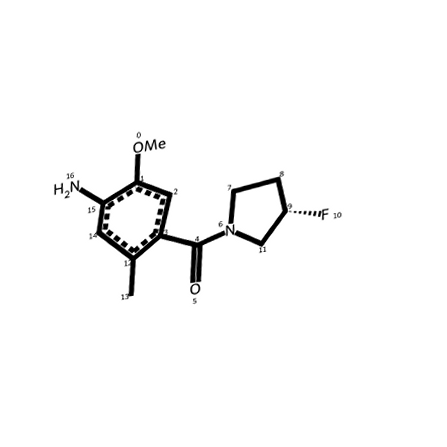 COc1cc(C(=O)N2CC[C@H](F)C2)c(C)cc1N